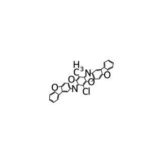 Cc1c2c(c(Cl)c3c1=Nc1cc4c(cc1O3)oc1ccccc14)=Nc1cc3c(cc1O2)oc1ccccc13